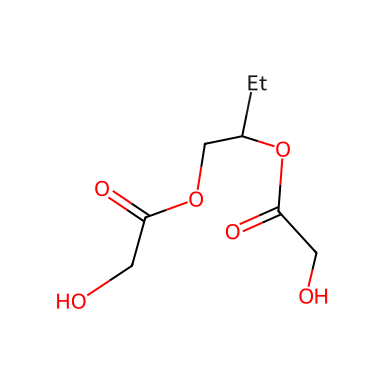 CCC(COC(=O)CO)OC(=O)CO